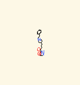 O=C(CCCC1CCN(CCc2ccccc2)CC1)C1=NCCO1